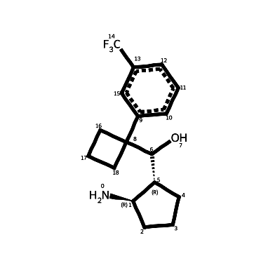 N[C@@H]1CCC[C@H]1C(O)C1(c2cccc(C(F)(F)F)c2)CCC1